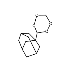 C1OOC(C23CC4CC(CC(C4)C2)C3)OO1